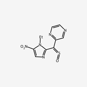 CCn1c([N+](=O)[O-])cnc1C(=S=O)c1cnccn1